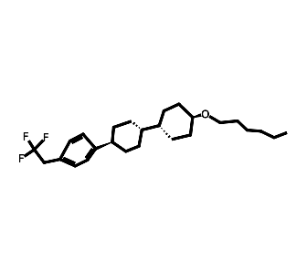 CCCCCCO[C@H]1CC[C@H]([C@H]2CC[C@H](c3ccc(CC(F)(F)F)cc3)CC2)CC1